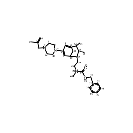 C=C(C)CN1CCN(C2=CC3CC(=C2)C(C)[C@@H](C)C3CCN(C)C(=O)OCc2ccccc2)CC1